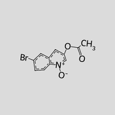 CC(=O)Oc1cc2cc(Br)ccc2[n+]([O-])c1